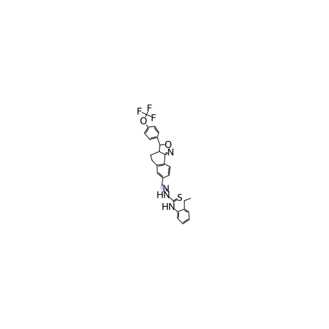 CCc1ccccc1NC(=S)N/N=C/c1ccc2c(c1)CCC1C2=NOC1c1ccc(OC(F)(F)F)cc1